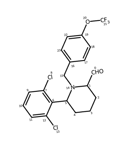 O=CC1CCCC(c2c(Cl)cccc2Cl)N1Cc1ccc(OC(F)(F)F)cc1